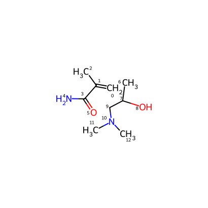 C=C(C)C(N)=O.CC(O)CN(C)C